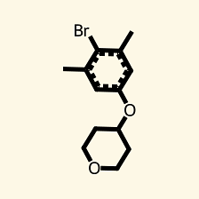 Cc1cc(OC2CCOCC2)cc(C)c1Br